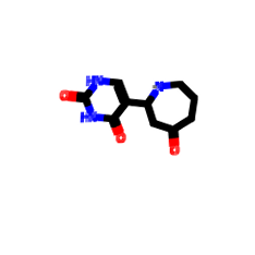 O=C1CCC[N]C(c2c[nH]c(=O)[nH]c2=O)C1